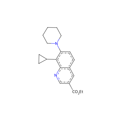 CCOC(=O)c1cnc2c(C3CC3)c(N3CCCCC3)ccc2c1